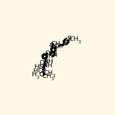 COc1cc2c(Oc3cccc(NC(=O)NC(=N)/C=C(\O)C(C)(C)C)c3)ncnc2cc1OCCCN1CCN(SC)CC1